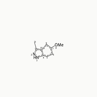 [CH2]c1n[nH]c2ccc(OC)cc12